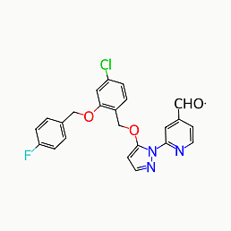 O=[C]c1ccnc(-n2nccc2OCc2ccc(Cl)cc2OCc2ccc(F)cc2)c1